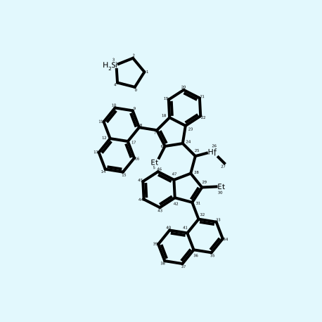 C1CC[SiH2]C1.CCC1=C(c2cccc3ccccc23)c2ccccc2C1[CH]([Hf][CH3])C1C(CC)=C(c2cccc3ccccc23)c2ccccc21